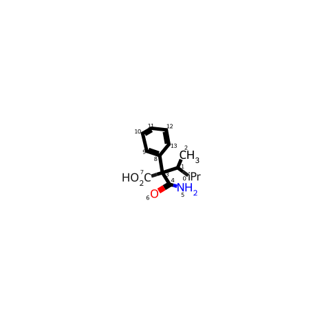 CC(C)C(C)C(C(N)=O)(C(=O)O)c1ccccc1